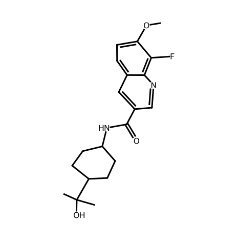 COc1ccc2cc(C(=O)NC3CCC(C(C)(C)O)CC3)cnc2c1F